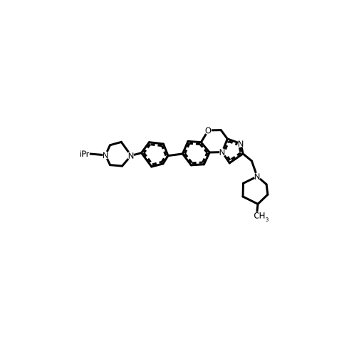 CC1CCN(Cc2cn3c(n2)COc2cc(-c4ccc(N5CCN(C(C)C)CC5)cc4)ccc2-3)CC1